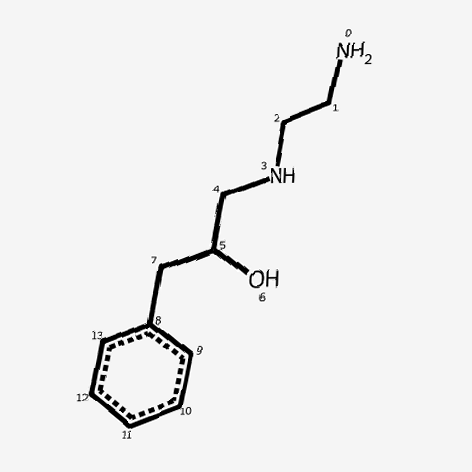 NCCNCC(O)Cc1ccccc1